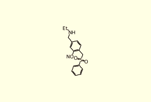 CCNCc1ccc(CS(=O)(=O)c2ccccc2)c(N=O)c1